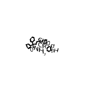 CC(C)(CCC(C(N)=O)(c1ccccc1)c1ccccc1)N1CCC(Oc2cccc(O)c2Cl)C1